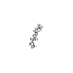 Cn1cc(I)c2cc(C(=O)Nc3ccc4c(c3)CN(C3CCC(=O)NC3=O)C4=O)cnc21